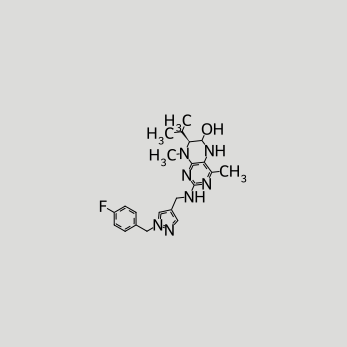 Cc1nc(NCc2cnn(Cc3ccc(F)cc3)c2)nc2c1NC(O)[C@H](C(C)C)N2C